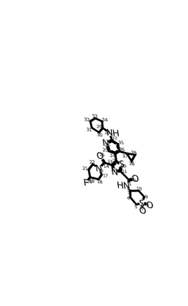 O=C(NC1CCS(=O)(=O)CC1)c1nc(C(=O)N2CCC(F)CC2)c(-c2cnc(NC3CCCCC3)cc2C2CC2)s1